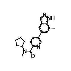 Cc1cc(-c2ccc(C(=O)N(C)C3CCCC3)nc2)cc2cn[nH]c12